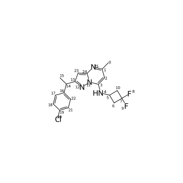 Cc1cc(NC2CC(F)(F)C2)n2nc(C(C)c3ccc(Cl)cc3)cc2n1